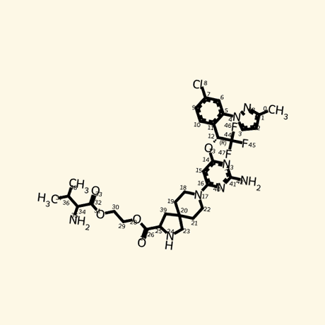 Cc1ccn(-c2cc(Cl)ccc2[C@@H](Oc2cc(N3CCC4(CC3)CNC(C(=O)OCCOC(=O)C(N)C(C)C)C4)nc(N)n2)C(F)(F)F)n1